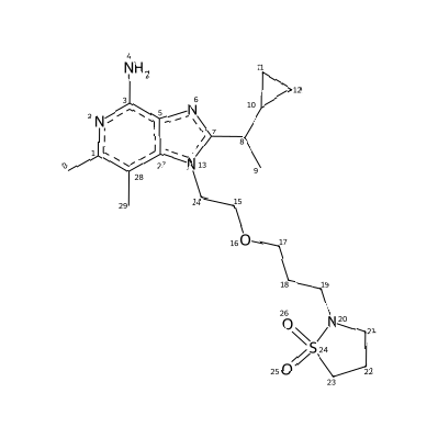 Cc1nc(N)c2nc(C(C)C3CC3)n(CCOCCCN3CCCS3(=O)=O)c2c1C